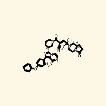 CC(C)(C=C(C#N)C(=O)N1CCC[C@@H](c2nc(-c3ccc(Oc4ccccc4)cc3)c3c(N)nccn23)C1)N1CCN2C(=O)CC[C@@H]2C1